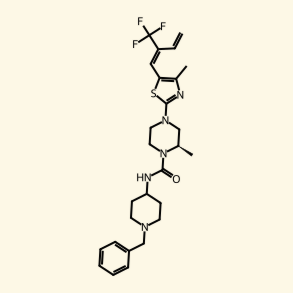 C=C/C(=C\c1sc(N2CCN(C(=O)NC3CCN(Cc4ccccc4)CC3)[C@H](C)C2)nc1C)C(F)(F)F